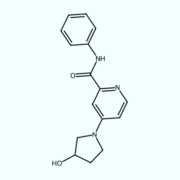 O=C(Nc1ccccc1)c1cc(N2CCC(O)C2)ccn1